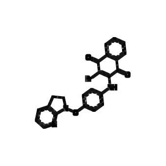 O=C1C(Br)=C(Nc2ccc(ON3CCc4cccnc43)cc2)C(=O)c2ccccc21